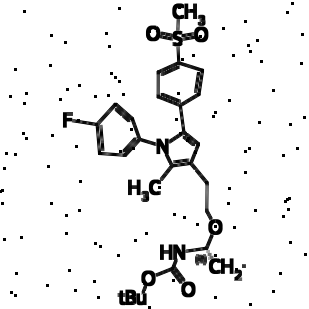 [CH2][C@H](NC(=O)OC(C)(C)C)OCCc1cc(-c2ccc(S(C)(=O)=O)cc2)n(-c2ccc(F)cc2)c1C